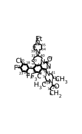 C=CC(=O)N1[C@H](C)CN(c2nc(=O)n3c4c(c(-c5cc(Cl)c(F)cc5F)c(C(F)(F)F)cc24)SCC(N2CCN(CC)CC2)C3)C[C@@H]1C